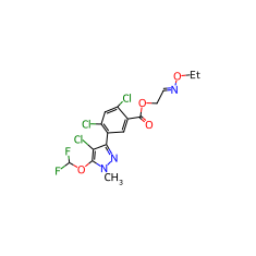 CCON=CCOC(=O)c1cc(-c2nn(C)c(OC(F)F)c2Cl)c(Cl)cc1Cl